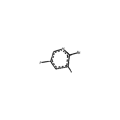 Cc1cc(F)cnc1Br